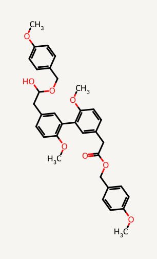 COc1ccc(COC(=O)Cc2ccc(OC)c(-c3cc(CC(O)OCc4ccc(OC)cc4)ccc3OC)c2)cc1